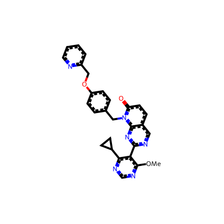 COc1ncnc(C2CC2)c1-c1ncc2ccc(=O)n(Cc3ccc(OCc4ccccn4)cc3)c2n1